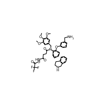 COc1cc(CN(C(=O)CCC(=O)NOC(=O)C(F)(F)F)c2ccccc2Oc2cccc(CN)c2)cc(OC)c1OC.c1ccc2c(c1)CCNC2